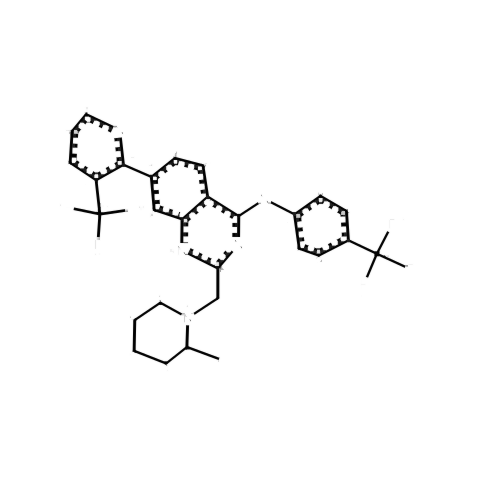 CC1CCCCN1Cc1nc(Nc2ccc(C(F)(F)F)cc2)c2ccc(-c3ncccc3C(F)(F)F)cc2n1